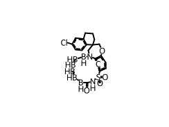 O=C1BBBBBBN2CC3(CCCc4cc(Cl)ccc43)COc3ccc(cc32)S(=O)(=O)N1